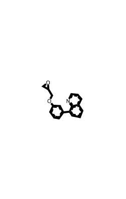 c1cc(OCC2CO2)cc(-c2cccc3cccnc23)c1